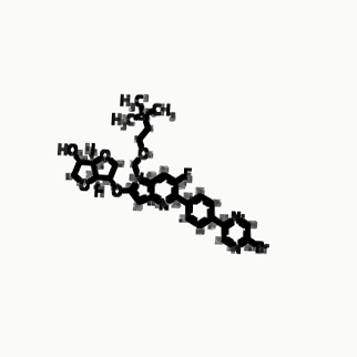 C[Si](C)(C)CCOCn1c(O[C@@H]2CO[C@H]3[C@@H]2OC[C@H]3O)cc2nc(-c3ccc(-c4cnc(Br)cn4)cc3)c(F)cc21